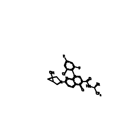 CC[C@H](NC(=O)c1cn(-c2c(F)cc(F)cc2Cl)c2nc(N3CC4CC4(O)C3)ccc2c1=O)C(F)(F)F